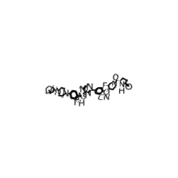 N#Cc1cc(-c2ncnc([AsH]c3ccc(N4CCN(C5COC5)CC4)cc3F)n2)ccc1O[C@H]1CCN(C(=O)[C@@H]2CCC(=O)N2)C[C@H]1F